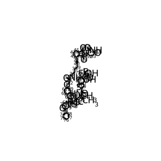 CC(C)(C)C(NC(=O)c1cc2cc(C(F)(F)P(=O)(O)O)ccc2s1)C(=O)N1Cc2cc(OCC(=O)NCCCCC#Cc3cccc4c3C(=O)N(C3CCC(=O)NC3=O)C4=O)ccc2C[C@H]1C(=O)N1CCO[C@H](c2ccccc2)C1